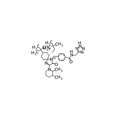 CC1CCCN(C2=NC3(CCC(C(C)(C)C)CC3)N([C@H](CCC(C)(C)C)c3ccc(C(=O)NCc4nn[nH]n4)cc3)C2=O)C1C